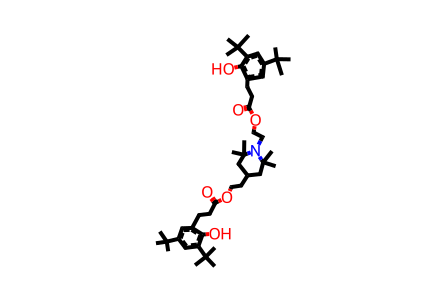 CC(C)(C)c1cc(CCC(=O)OCCC2CC(C)(C)N(CCOC(=O)CCc3cc(C(C)(C)C)cc(C(C)(C)C)c3O)C(C)(C)C2)c(O)c(C(C)(C)C)c1